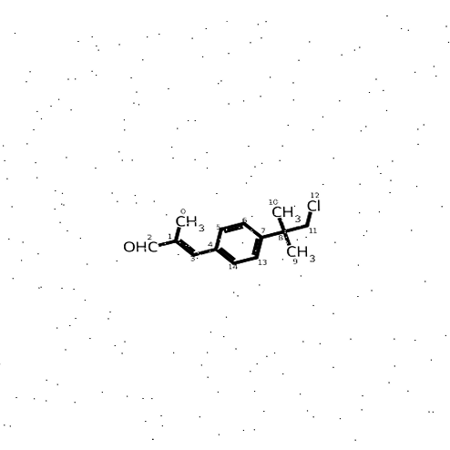 CC(C=O)=Cc1ccc(C(C)(C)CCl)cc1